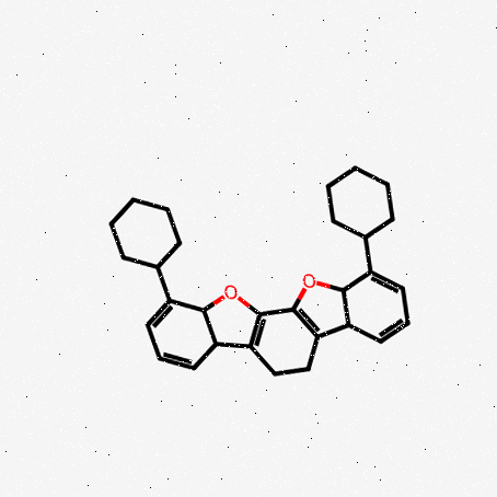 C1=CC2C3=C(OC2C(C2CCCCC2)=C1)C1=C(CC3)C2C=CC=C(C3CCCCC3)C2O1